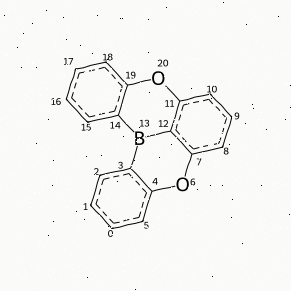 c1ccc2c(c1)Oc1cccc3c1B2c1ccccc1O3